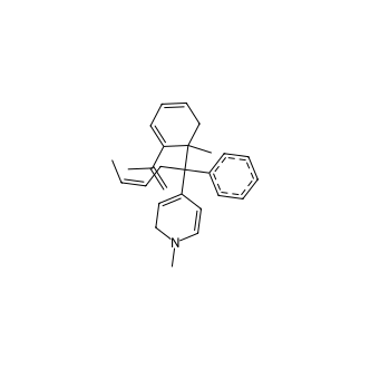 C=C(C)C1=CC=CCC1(C)C(C/C=C\C)(C1=CCN(C)C=C1)c1ccccc1